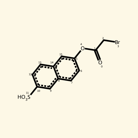 O=C(CBr)Oc1ccc2cc(S(=O)(=O)O)ccc2c1